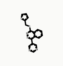 c1csc(CSc2nnc(-c3cncnc3)c3ccccc23)c1